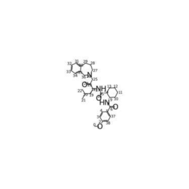 COc1ccc(C(=O)N[C@H]2CCCC[C@H]2C(=O)N[C@@H](CC(C)C)C(=O)CN2CCCc3ccccc3C2)cc1